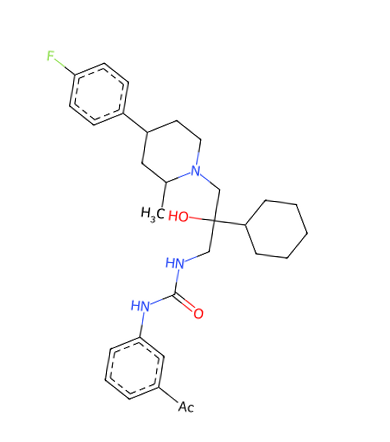 CC(=O)c1cccc(NC(=O)NCC(O)(CN2CCC(c3ccc(F)cc3)CC2C)C2CCCCC2)c1